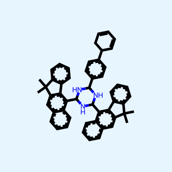 CC1(C)c2ccccc2-c2c1cc1ccccc1c2C1NC(c2ccc(C3C=CC=CC3)cc2)NC(c2c3c(cc4ccccc24)C(C)(C)c2ccccc2-3)N1